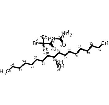 CCC(Br)(CC)C(=O)NC(N)=O.CCCCCCCCCCCCCCCCCC.[KH].[KH]